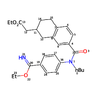 CCCCN(C(=O)c1ccc2c(c1)CC(CC(=O)OCC)CC2)c1ccc(C(=N)OCC)cc1